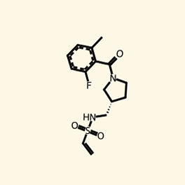 C=CS(=O)(=O)NC[C@H]1CCN(C(=O)c2c(C)cccc2F)C1